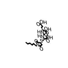 CCCCCCN1C(=O)CC(SC[C@H](NC(=O)N[C@@H](CCC(=O)O)C(=O)O)C(=O)O)C1=O